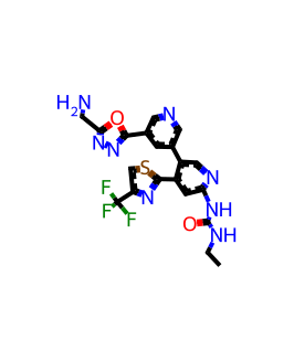 CCNC(=O)Nc1cc(-c2nc(C(F)(F)F)cs2)c(-c2cncc(-c3nnc(CN)o3)c2)cn1